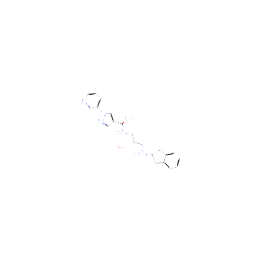 O=C(NCC(O)CNC1Cc2ccccc2C1)c1cnn(-c2cccnc2)c1